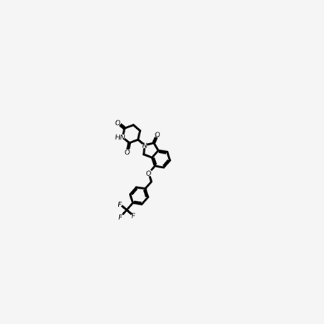 O=C1CCC(N2Cc3c(OCc4ccc(C(F)(F)F)cc4)cccc3C2=O)C(=O)N1